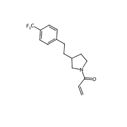 C=CC(=O)N1CCC(CCc2ccc(C(F)(F)F)cc2)C1